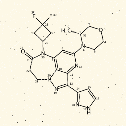 C[C@@H]1COCCN1c1cc2c3c(n1)c(-c1cc[nH]n1)nn3CCC(=O)N2C1CC(F)(F)C1